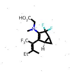 CC/C(C)=C(/C1=C(N(C)CC(=O)O)C(F)(F)C2C[C@@H]12)C(F)(F)F